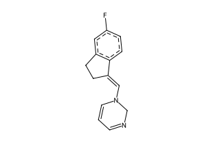 Fc1ccc2c(c1)CCC2=CN1C=CC=NC1